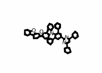 c1ccc(-c2cc(-c3ccccc3)nc(-c3cc(-c4ccccc4)c(-n4c5ccccc5c5c6oc7c(ccc8c9ccccc9oc87)c6ccc54)c(-c4ccccc4)c3)n2)cc1